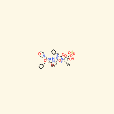 CC(C)CC[C@H](NC(=O)[C@H](Cc1ccccc1)NC(=O)C(CC(C)C)NC(=O)[C@H](CCc1ccccc1)NC(=O)CN1CCOCC1)C(=O)C(C)(O)COS(C)(=O)=O